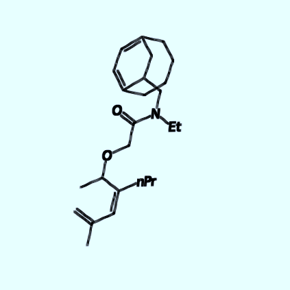 C=C(C)/C=C(/CCC)C(C)OCC(=O)N(CC)CC1CC2=CC=C1CCCC2